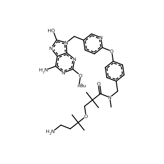 CCCCOc1nc(N)c2nc(O)n(Cc3ccc(Oc4ccc(CN(C)C(=O)C(C)(C)COC(C)(C)CCN)cc4)nc3)c2n1